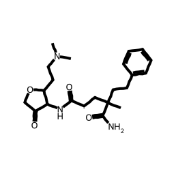 CN(C)CCC1OCC(=O)C1NC(=O)[CH]CC(C)(CCc1ccccc1)C(N)=O